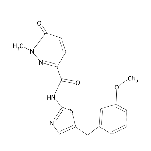 COc1cccc(Cc2cnc(NC(=O)c3ccc(=O)n(C)n3)s2)c1